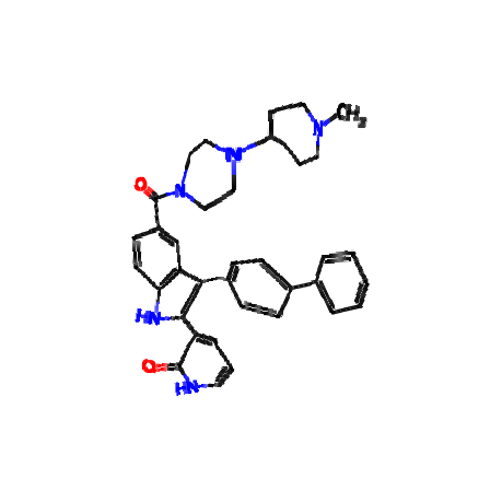 CN1CCC(N2CCN(C(=O)c3ccc4[nH]c(-c5ccc[nH]c5=O)c(-c5ccc(-c6ccccc6)cc5)c4c3)CC2)CC1